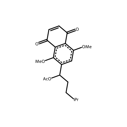 COc1cc(C(CCC(C)C)OC(C)=O)c(OC)c2c1C(=O)C=CC2=O